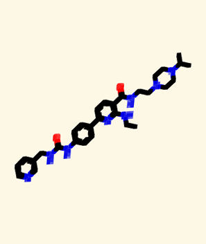 CCNc1nc(-c2ccc(NC(=O)NCc3cccnc3)cc2)ccc1C(=O)NCCN1CCN(C(C)C)CC1